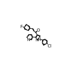 O=C(C=Cc1ccc(F)cc1)c1cn(-c2ccc(Cl)cc2)nc1-c1cccnc1